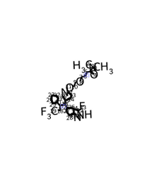 CN(C)C(=O)/C=C/COCCOc1ccc(/C(=C(/CC(F)(F)F)c2ccccc2)c2ccc3n[nH]c(F)c3c2)cn1